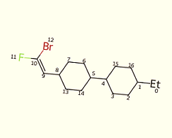 CCC1CCC(C2CCC(C=C(F)Br)CC2)CC1